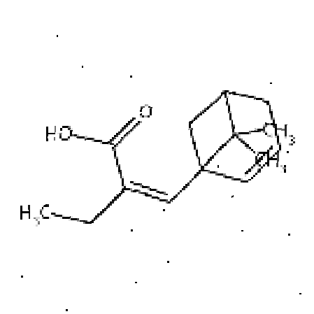 CCC(=CC12C=CCC(C1)C2(C)C)C(=O)O